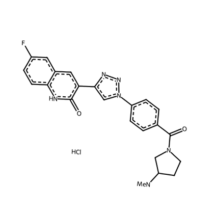 CNC1CCN(C(=O)c2ccc(-n3cc(-c4cc5cc(F)ccc5[nH]c4=O)nn3)cc2)C1.Cl